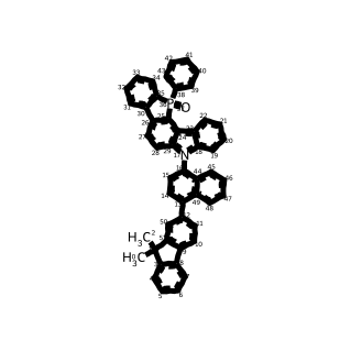 CC1(C)c2ccccc2-c2ccc(-c3ccc(-n4c5ccccc5c5c6c(ccc54)-c4ccccc4P6(=O)c4ccccc4)c4ccccc34)cc21